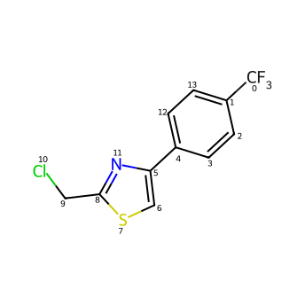 FC(F)(F)c1ccc(-c2csc(CCl)n2)cc1